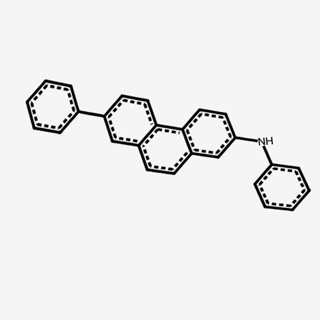 c1ccc(Nc2ccc3c(ccc4cc(-c5ccccc5)ccc43)c2)cc1